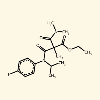 CCOC(=O)C(C)(C(=O)N(C)C)C(=O)N(c1ccc(F)cc1)C(C)C